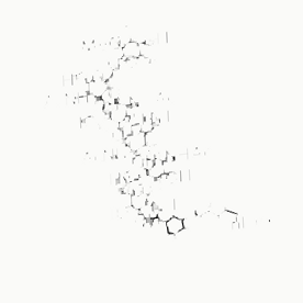 CCCCCC/C=C\CCCOc1cccc(C(=O)N[C@@H]2C(O[C@H]3C(O)C(NC(C)=O)C(OC4C(CO)O[C@@H](O[C@H]5C(O)C(NC(C)=O)C(OC6C(CO[C@@H]7OC(C)C(O)[C@H](C)[C@H]7OC)OC(O)[C@@H](NC(C)=O)[C@H]6O)O[C@H]5CO)[C@@H](NC(C)=O)[C@H]4O)O[C@H]3CO)OC(CO)[C@@H](O)[C@@H]2O)c1